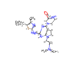 CCOC(=O)c1sc(Nc2nc3c(c(N4CCNC(=O)C4)n2)CCN3CCN(C)C)nc1C